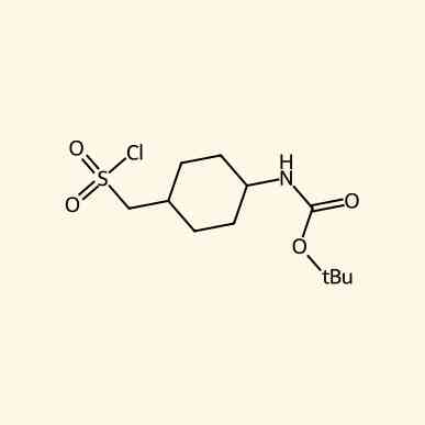 CC(C)(C)OC(=O)NC1CCC(CS(=O)(=O)Cl)CC1